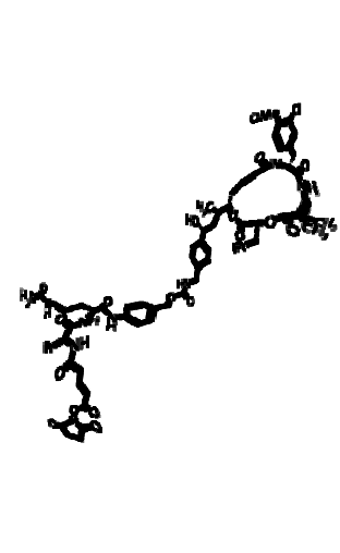 COc1ccc(C[C@H]2NC(=O)/C=C/C[C@@H]([C@H](C)C[C@@H](O)c3ccc(CNC(=O)OCc4ccc(NC(=O)[C@H](CCCNC(N)=O)NC(=O)C(NC(=O)CCCC(=O)ON5C(=O)CCC5=O)C(C)C)cc4)cc3)OC(=O)[C@H](CC(C)C)OC(=O)C(C)(C)CNC2=O)cc1Cl